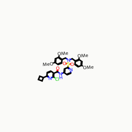 COc1ccc(CN(Cc2ccc(OC)cc2OC)S(=O)(=O)c2cc(NC(=O)c3ccc(C4CCC4)nc3Cl)ccn2)c(OC)c1